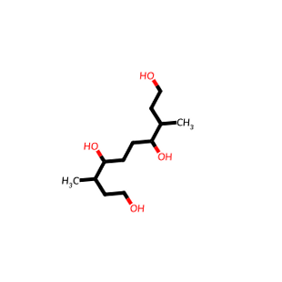 CC(CCO)C(O)CCC(O)C(C)CCO